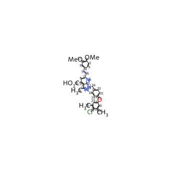 COc1ccc(/C=C/c2cc(C(=O)O)c3c(C)nn(Cc4ccc(Oc5cc(C)c(Cl)c(C)c5)cc4)c3n2)cc1OC